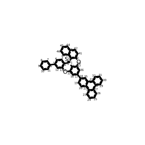 S=P12c3ccc(-c4ccccc4)cc3Oc3cc(-c4ccc5c6ccccc6c6ccccc6c5c4)cc(c31)Oc1ccc3ccccc3c12